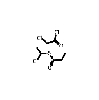 CCC(=O)OC(C)Cl.O=C(Cl)CCl